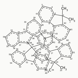 CC1(C)c2ccccc2-c2c(N(c3cccc4c3-c3ccccc3C4(C)C)c3cccc4c5ccccc5n(C5(c6ccccc6)c6ccccc6-c6ccccc65)c34)cccc21